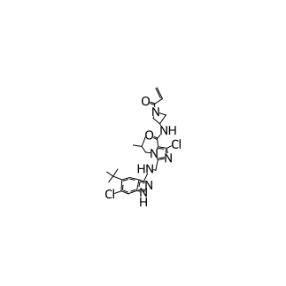 C=CC(=O)N1CC(NC(=O)c2c(Cl)nc(CNc3n[nH]c4cc(Cl)c(C(C)(C)C)cc34)n2CC(C)C)C1